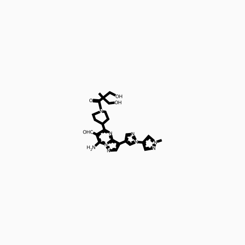 Cn1cc(-n2cc(-c3cnn4c(N)c(C=O)c(C5CCN(C(=O)C(C)(CO)CO)CC5)nc34)cn2)cn1